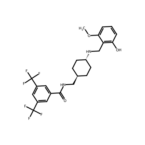 COc1cccc(O)c1CN[C@H]1CC[C@H](CNC(=O)c2cc(C(F)(F)F)cc(C(F)(F)F)c2)CC1